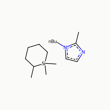 CC1CCCC[Si]1(C)C.CCCCn1ccnc1C